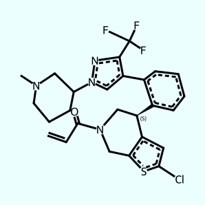 C=CC(=O)N1Cc2sc(Cl)cc2[C@H](c2ccccc2-c2cn(C3CCCN(C)C3)nc2C(F)(F)F)C1